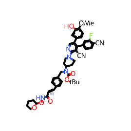 COc1ccc(-c2cnc(N3CCC(N(Cc4ccc(/C=C/C(=O)NOC5CCCCO5)cc4)C(=O)OC(C)(C)C)CC3)c(C#N)c2-c2ccc(C#N)c(F)c2)cc1O